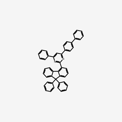 c1ccc(-c2ccc(-c3cc(-c4ccccc4)nc(-c4cccc5c4-c4ccccc4C5(c4ccccc4)c4ccccc4)n3)cc2)cc1